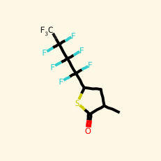 CC1CC(C(F)(F)C(F)(F)C(F)(F)C(F)(F)F)SC1=O